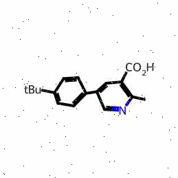 Cc1ncc(-c2ccc(C(C)(C)C)cc2)cc1C(=O)O